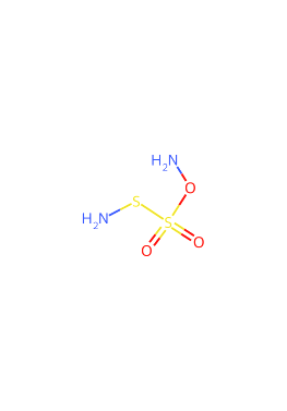 NOS(=O)(=O)SN